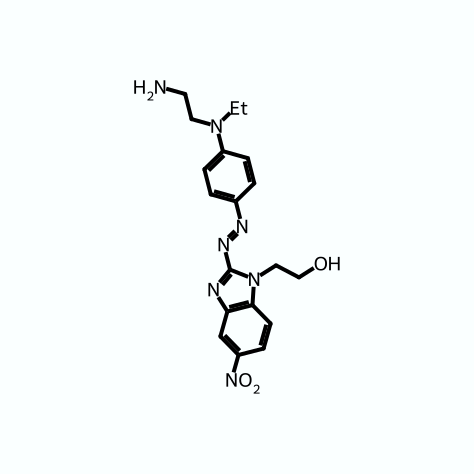 CCN(CCN)c1ccc(N=Nc2nc3cc([N+](=O)[O-])ccc3n2CCO)cc1